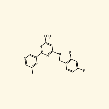 Cc1cncc(-c2nc(NCc3ccc(F)cc3F)cc(C(=O)O)n2)c1